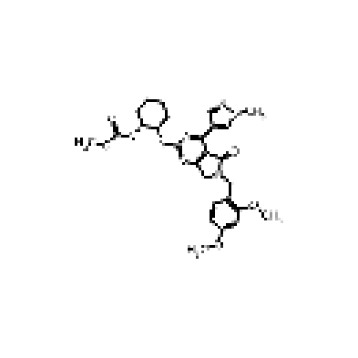 COC(=O)N[C@H]1CCCC[C@H]1Nc1nc2c(c(-c3cnn(C)c3)n1)C(=O)N(Cc1ccc(OC)cc1OC)C2